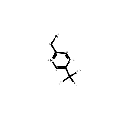 FC(F)(F)c1cnc(CBr)cn1